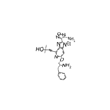 CCn1c(-c2nonc2N)nc2c(C#CC(C)(C)O)nc(OC[C@@H](N)Cc3ccccc3)cc21